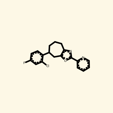 Fc1ccc(C2CCCc3nc(-c4ccccn4)oc3C2)c(Cl)c1